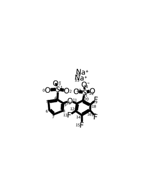 O=S(=O)([O-])c1ccccc1Oc1c(F)c(F)c(F)c(F)c1S(=O)(=O)[O-].[Na+].[Na+]